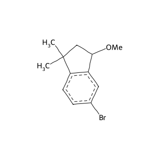 COC1CC(C)(C)c2ccc(Br)cc21